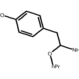 CCCOC(N)Cc1ccc(O)cc1